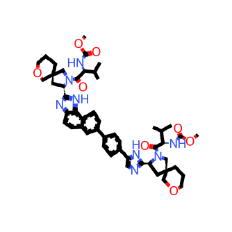 COC(=O)N[C@H](C(=O)N1C[C@]2(CCCOC2)C[C@H]1c1ncc(-c2ccc(-c3ccc4c(ccc5nc([C@@H]6C[C@@]7(CCCOC7)CN6C(=O)[C@@H](NC(=O)OC)C(C)C)[nH]c54)c3)cc2)[nH]1)C(C)C